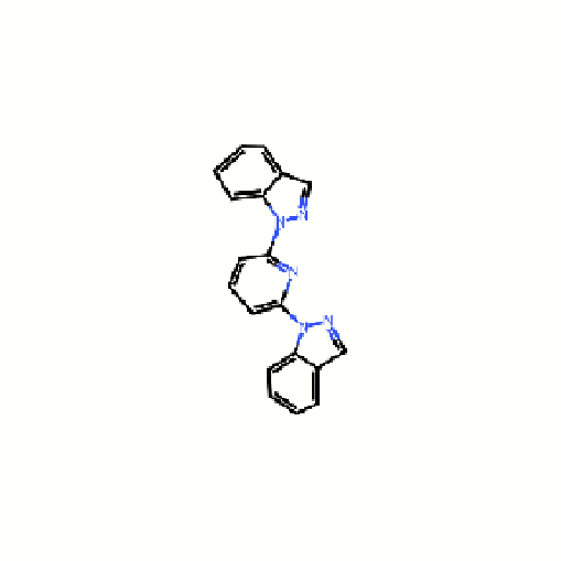 c1cc(-n2ncc3ccccc32)nc(-n2ncc3ccccc32)c1